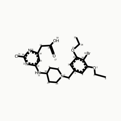 CCOc1cc(CN2CCC(Nc3cc(CC(=O)O)nc(Cl)n3)CC2)cc(OCC)c1Br